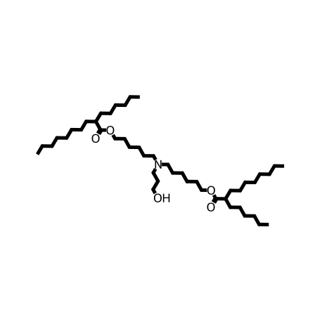 CCCCCCCCC(CCCCCC)C(=O)OCCCCCCN(CCCO)CCCCCCOC(=O)C(CCCCCC)CCCCCCCC